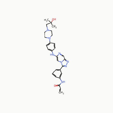 C=CC(=O)Nc1cccc(-c2nnc3cnc(Nc4ccc(N5CCN(CC(C)(C)O)CC5)cc4)cn23)c1